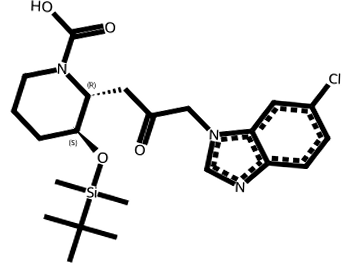 CC(C)(C)[Si](C)(C)O[C@H]1CCCN(C(=O)O)[C@@H]1CC(=O)Cn1cnc2ccc(Cl)cc21